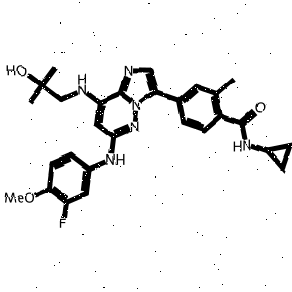 COc1ccc(Nc2cc(NCC(C)(C)O)c3ncc(-c4ccc(C(=O)NC5CC5)c(C)c4)n3n2)cc1F